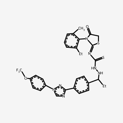 CCc1cccc(C)c1N1C(=O)CS/C1=N\C(=S)NNC(CC)c1ccc(-c2ncn(-c3ccc(OC(F)(F)F)cc3)n2)cc1